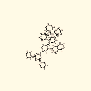 c1ccc(-c2cc(-c3ccc(-c4cc5c(cc4-c4cccc6ccccc46)-c4ccccc4C54c5ccccc5-c5ccccc54)cc3)nc(-c3ccccc3)n2)cc1